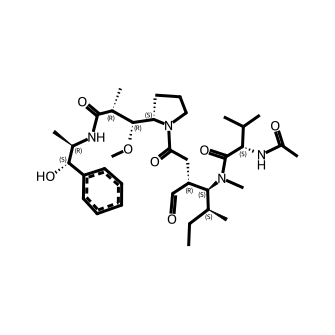 CC[C@H](C)[C@@H]([C@H](C=O)CC(=O)N1CCC[C@H]1[C@H](OC)[C@@H](C)C(=O)N[C@H](C)[C@@H](O)c1ccccc1)N(C)C(=O)[C@@H](NC(C)=O)C(C)C